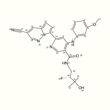 COc1cccc(Nc2cc(-c3ccc4cc(C#N)cnn34)ncc2C(=O)NC[C@@H](F)C(C)(C)O)c1